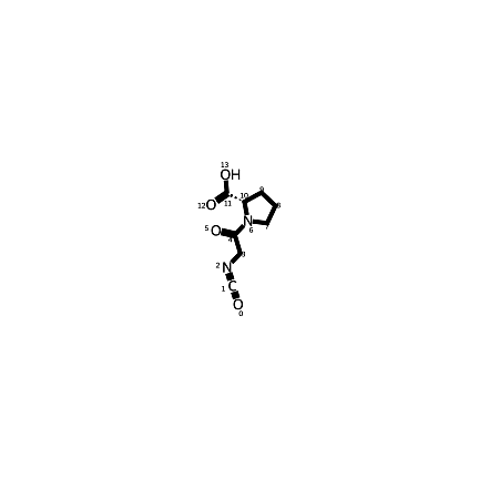 O=C=NCC(=O)N1CCC[C@H]1C(=O)O